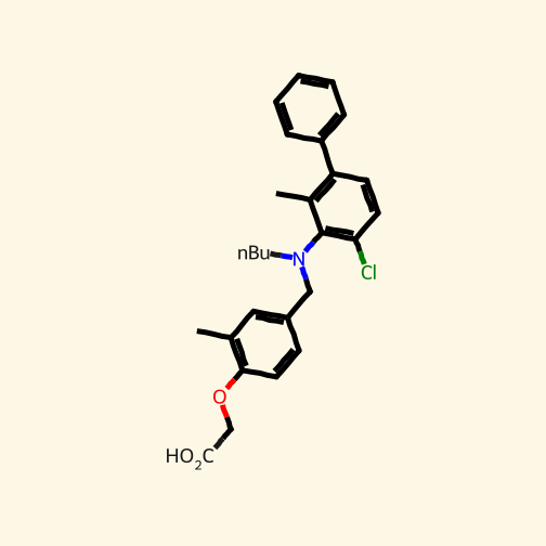 CCCCN(Cc1ccc(OCC(=O)O)c(C)c1)c1c(Cl)ccc(-c2ccccc2)c1C